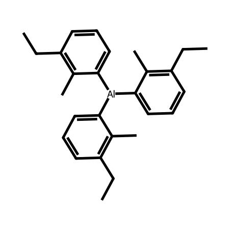 CCc1ccc[c]([Al]([c]2cccc(CC)c2C)[c]2cccc(CC)c2C)c1C